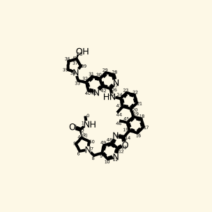 CNC(=O)[C@@H]1CCN(Cc2cnc3oc(-c4cccc(-c5cccc(Nc6nccc7cc(CN8CC[C@@H](O)C8)cnc67)c5C)c4C)nc3c2)C1